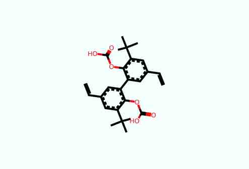 C=Cc1cc(-c2cc(C=C)cc(C(C)(C)C)c2OC(=O)O)c(OC(=O)O)c(C(C)(C)C)c1